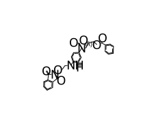 O=C(OC[C@H]1CN(c2ccc(NCCON3C(=O)c4ccccc4C3=O)c(F)c2)C(=O)O1)c1ccccc1